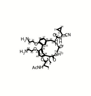 CC(=O)N[C@@H](C)C(=O)N(C)[C@@H]1C(=O)N[C@@H](C)C(=O)N[C@H](C(=O)N[C@H](C#N)C2CC2)Cc2ccc(OCCN)c(c2)-c2cc1ccc2OCCN